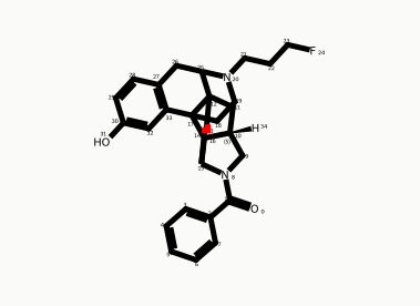 O=C(c1ccccc1)N1C[C@H]2CC34CCC1C2C31CCN(CCCF)C4Cc2ccc(O)cc21